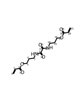 C=CC(=O)OCCCNC(=O)C(=O)NCCCOC(=O)C=C